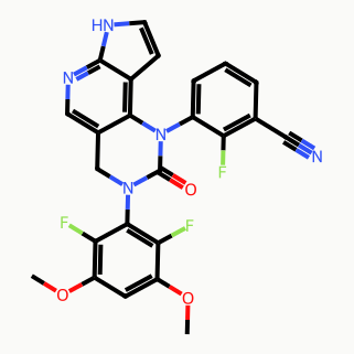 COc1cc(OC)c(F)c(N2Cc3cnc4[nH]ccc4c3N(c3cccc(C#N)c3F)C2=O)c1F